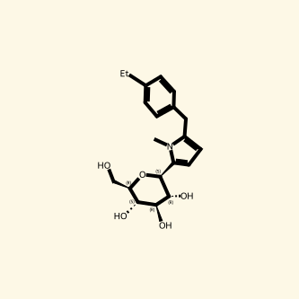 CCc1ccc(Cc2ccc([C@@H]3O[C@H](CO)[C@@H](O)[C@H](O)[C@H]3O)n2C)cc1